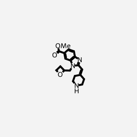 COC(=O)c1ccc2nc(C=C3CCNCC3)n(CC3CCO3)c2c1